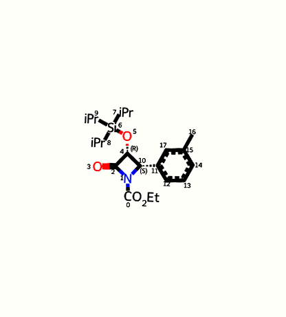 CCOC(=O)N1C(=O)[C@H](O[Si](C(C)C)(C(C)C)C(C)C)[C@@H]1c1cccc(C)c1